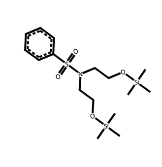 C[Si](C)(C)OCCN(CCO[Si](C)(C)C)S(=O)(=O)c1ccccc1